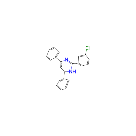 Clc1cccc(C2=NC(c3ccccc3)=CC(c3ccccc3)N2)c1